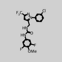 COc1c(F)cc(NC(=O)NCc2cc(C(F)(F)F)nn2-c2cccc(Cl)c2)cc1F